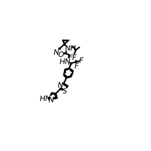 CC(C)C[C@H](N[C@@H](c1ccc(-c2csc(-c3cn[nH]c3)n2)cc1)C(F)(F)F)C(=O)NC1(C#N)CC1